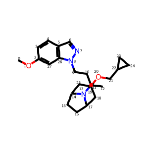 COc1ccc2cnn(CCC(C)N3C4CCC3CC(OCC3CC3)C4)c2c1